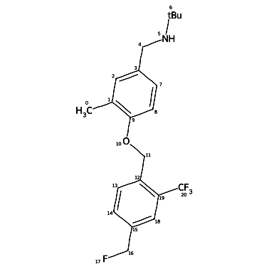 Cc1cc(CNC(C)(C)C)ccc1OCc1ccc(CF)cc1C(F)(F)F